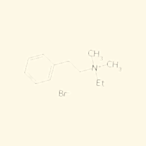 CC[N+](C)(C)CCc1ccccc1.[Br-]